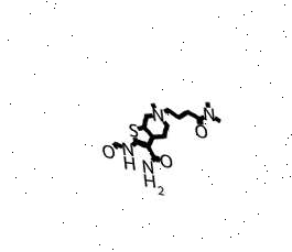 CN(C)C(=O)CCC[N+]1(C)CCC2C(C(N)=O)=C(NC=O)SC2C1